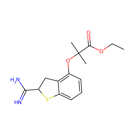 CCOC(=O)C(C)(C)Oc1cccc2c1CC(C(=N)N)S2